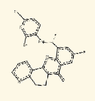 C[C@@H](Nc1ccc(Cl)nc1Br)c1cc(F)cc2c(=O)c3c(oc12)-c1cccnc1CC3